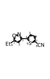 CCc1cc(-c2ccc(C#N)s2)no1